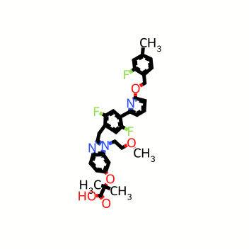 COCCn1c(Cc2cc(F)c(-c3cccc(OCc4ccc(C)cc4F)n3)cc2F)nc2ccc(OC(C)(C)C(=O)O)cc21